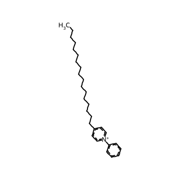 CCCCCCCCCCCCCCCCCc1cc[n+](-c2ccccc2)cc1